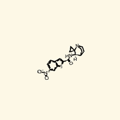 O=C(N[C@@H]1C2CCN(CC2)C12CC2)c1cc2ccc([N+](=O)[O-])cc2s1